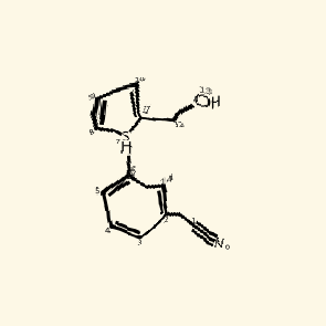 N#Cc1cccc([SH]2C=CC=C2CO)c1